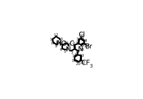 O=C(O)c1c(CN2CCC(N3CCCCC3)CC2)c(-c2cccc(C(F)(F)F)c2)nc2c(Br)cc(Cl)cc12